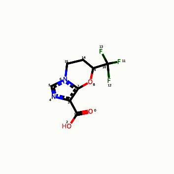 O=C(O)c1ncn2c1OC(C(F)(F)F)CC2